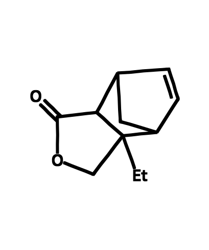 CCC12COC(=O)C1C1C=CC2C1